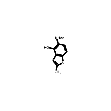 CC(=O)Nc1ccc2sc(C)nc2c1O